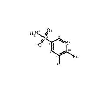 Cc1cc(S(N)(=O)=O)cnc1F